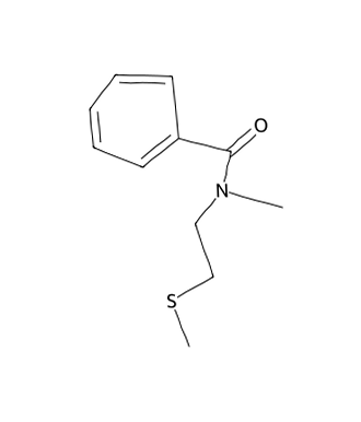 CSCCN(C)C(=O)c1ccccc1